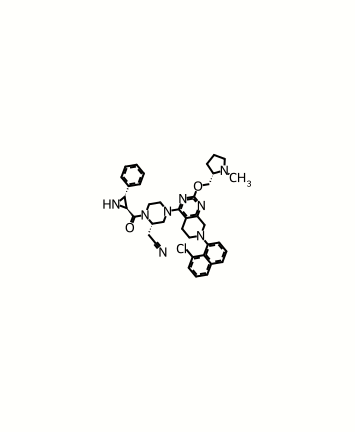 CN1CCC[C@H]1COc1nc2c(c(N3CCN(C(=O)[C@H]4N[C@@H]4c4ccccc4)[C@@H](CC#N)C3)n1)CCN(c1cccc3cccc(Cl)c13)C2